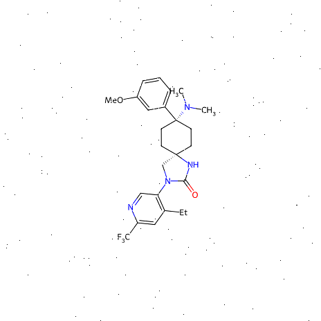 CCc1cc(C(F)(F)F)ncc1N1C[C@]2(CC[C@@](c3cccc(OC)c3)(N(C)C)CC2)NC1=O